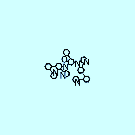 c1ccc(-c2ccccc2-c2ccc3c(c2)c2ncccc2n3-c2cc(-n3c4ccc(-c5ccccc5-c5ccccn5)cc4c4ncccc43)c3oc4ccccc4c3c2)nc1